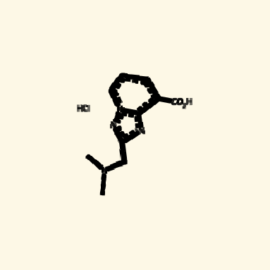 CN(C)Cc1nc2c(C(=O)O)cccn2n1.Cl